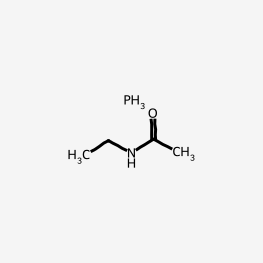 CCNC(C)=O.P